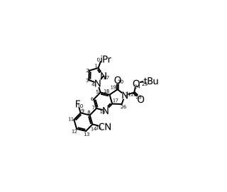 CC(C)c1ccn(-c2cc(-c3c(F)cccc3C#N)nc3c2C(=O)N(C(=O)OC(C)(C)C)C3)n1